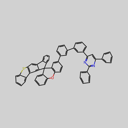 c1ccc(-c2cc(-c3cccc(-c4cccc(-c5ccc6c(c5)C5(c7ccccc7O6)c6ccccc6-c6cc7sc8ccccc8c7cc65)c4)c3)nc(-c3ccccc3)n2)cc1